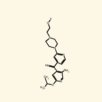 CC(C)Oc1cc(C(=N)c2ccnc(N3CCN(CCOF)CC3)c2)c(N)cn1